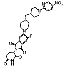 O=C1CCC(N2C(=O)c3cc(F)c(N4CCN(CC5CCN(c6ccc([N+](=O)[O-])cn6)CC5)CC4)cc3C2=O)C(=O)N1